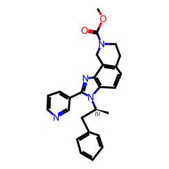 COC(=O)N1CCc2ccc3c(nc(-c4cccnc4)n3[C@@H](C)Cc3ccccc3)c2C1